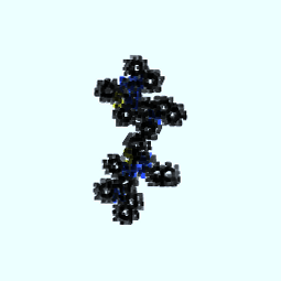 c1ccc2cc(-c3nc(-n4c5ccccc5c5c6c7ccccc7n7c8c9ccccc9ccc8c(cc54)c67)c4sc5ccc(-c6ccc7c(c6)c6c8c9ccccc9n(-c9nc(-n%10c%11ccccc%11c%11ccccc%11%10)nc%10c9sc9ccccc9%10)c8cc8c9ccc%10ccccc%10c9n7c86)cc5c4n3)ccc2c1